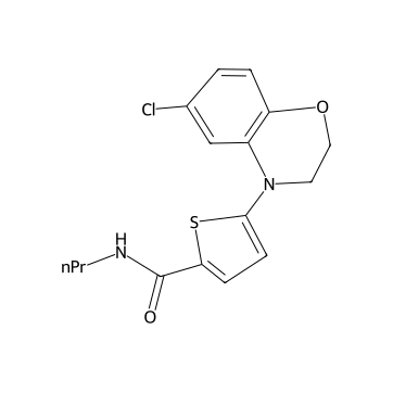 CCCNC(=O)c1ccc(N2CCOc3ccc(Cl)cc32)s1